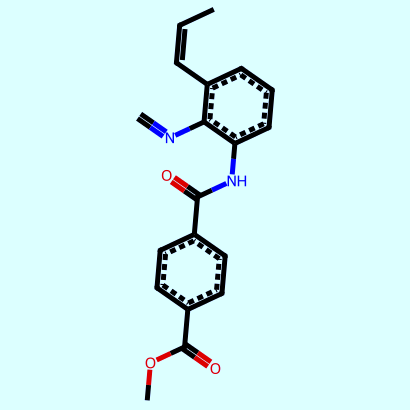 C=Nc1c(/C=C\C)cccc1NC(=O)c1ccc(C(=O)OC)cc1